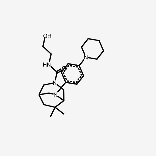 CC1(C)CC2CN(C(=O)NCCO)CC1N(c1ccc(N3CCCCC3)cc1)C2